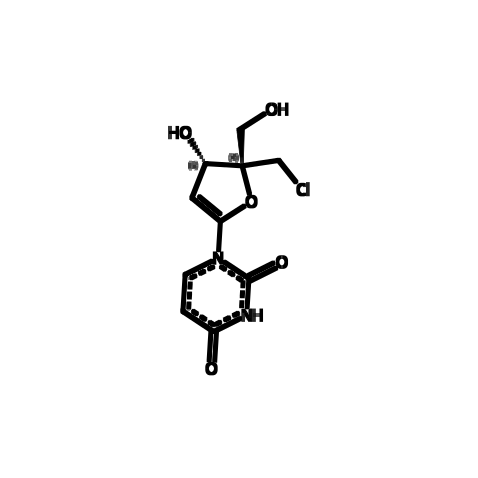 O=c1ccn(C2=C[C@H](O)[C@](CO)(CCl)O2)c(=O)[nH]1